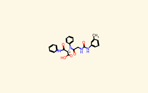 Cc1cccc(NC(=O)NCC(=O)N(c2ccccc2)[C@H](C(=O)O)C(=O)Nc2ccccc2)c1